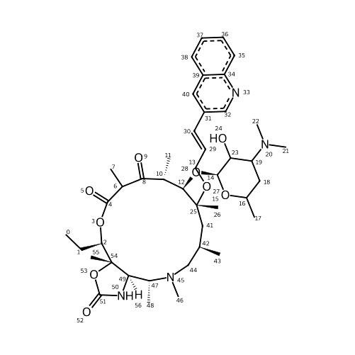 CC[C@H]1OC(=O)C(C)C(=O)[C@H](C)[C@@H](O[C@@H]2OC(C)CC(N(C)C)C2O)[C@](C)(OC/C=C/c2cnc3ccccc3c2)C[C@@H](C)CN(C)[C@H](C)[C@H]2NC(=O)O[C@@]21C